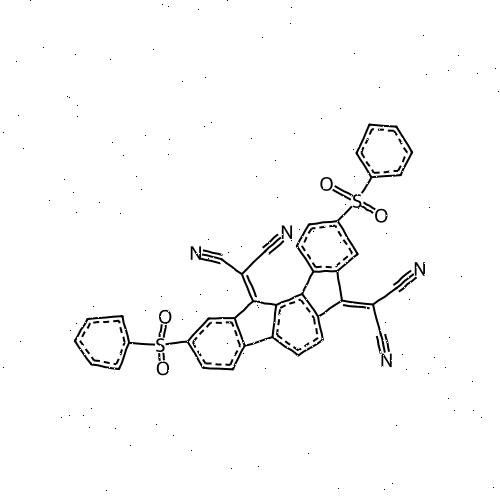 N#CC(C#N)=C1c2cc(S(=O)(=O)c3ccccc3)ccc2-c2c1ccc1c2C(=C(C#N)C#N)c2cc(S(=O)(=O)c3ccccc3)ccc2-1